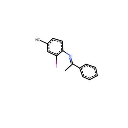 CC(=Nc1ccc(C#N)cc1I)c1ccccc1